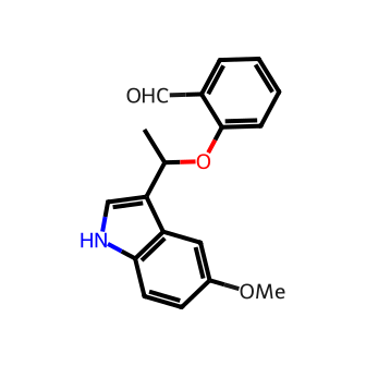 COc1ccc2[nH]cc(C(C)Oc3ccccc3C=O)c2c1